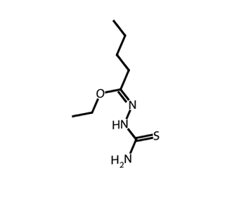 CCCCC(=NNC(N)=S)OCC